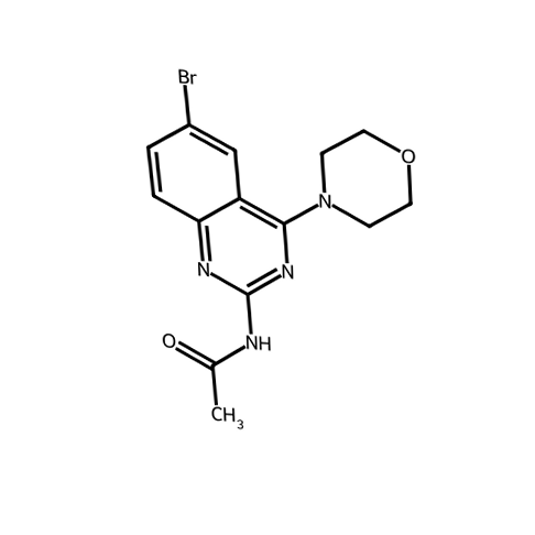 CC(=O)Nc1nc(N2CCOCC2)c2cc(Br)ccc2n1